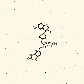 COc1ccc2ncc(=O)n(-c3cnc4c(c3)C[C@@H](O)[C@@H](NCc3ccc5c(n3)NC(=O)CO5)C4)c2n1.Cl.Cl